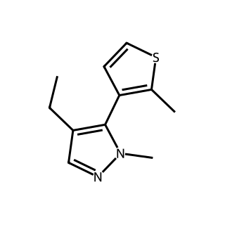 CCc1cnn(C)c1-c1ccsc1C